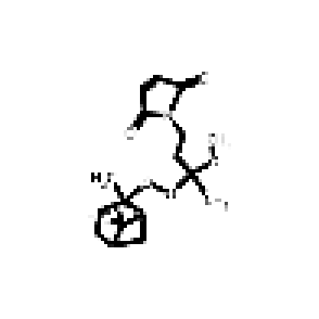 COC(C)(CCN1C(=O)C=CC1=O)OOC1(C)CCC2CC1C2(C)C